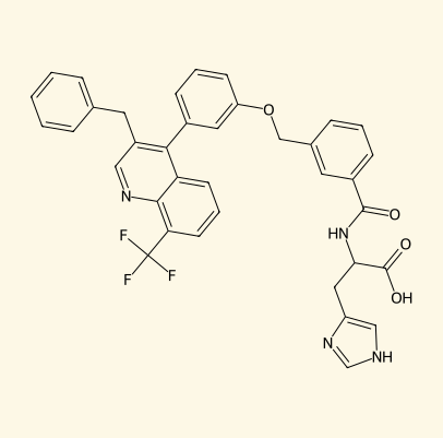 O=C(NC(Cc1c[nH]cn1)C(=O)O)c1cccc(COc2cccc(-c3c(Cc4ccccc4)cnc4c(C(F)(F)F)cccc34)c2)c1